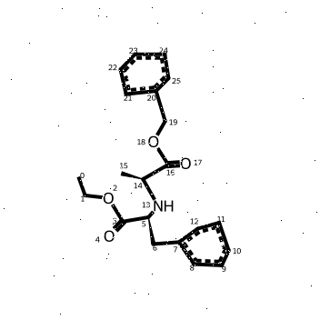 CCOC(=O)[C@H](Cc1ccccc1)N[C@@H](C)C(=O)OCc1ccccc1